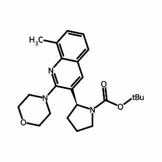 Cc1cccc2cc([C@@H]3CCCN3C(=O)OC(C)(C)C)c(N3CCOCC3)nc12